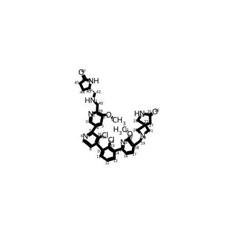 COc1cc(-c2nccc(-c3cccc(-c4ccc(CN5CC6(CNC(=O)C6)C5)c(OC)n4)c3Cl)c2Cl)cnc1CNC[C@@H]1CCC(=O)N1